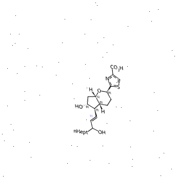 CCCCCCCC(O)/C=C/[C@@H]1[C@H]2CC[C@H](c3nc(C(=O)O)cs3)O[C@H]2C[C@H]1O